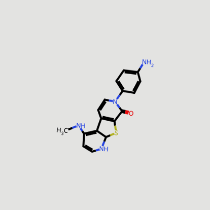 CNC1=C2c3ccn(-c4ccc(N)cc4)c(=O)c3SC2NC=C1